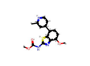 COC(=O)Nc1nc2c(OC)ccc(-c3ccnc(C)c3)c2s1